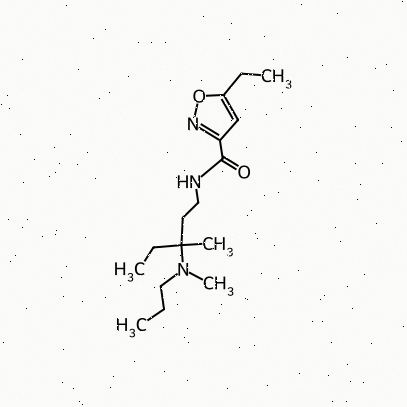 CCCN(C)C(C)(CC)CCNC(=O)c1cc(CC)on1